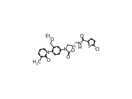 CCOCc1cc(N2C[C@H](CNC(=O)c3ccc(Cl)s3)OC2=O)ccc1-n1cccc(C)c1=O